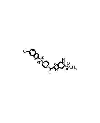 CS(=O)(=O)C1Cc2nc(C(=O)N3CCN(S(=O)(=O)c4cc5ccc(Cl)cc5s4)CC3)sc2CN1